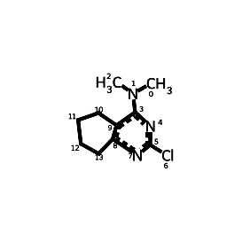 CN(C)c1nc(Cl)nc2c1CCCC2